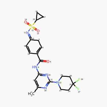 Cc1cc(NC(=O)C2=CCC(=NS(=O)(=O)C3CC3)C=C2)nc(N2CCC(F)(F)CC2)n1